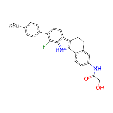 CCCCc1ccc(-c2ccc3c4c([nH]c3c2F)-c2ccc(NC(=O)CO)cc2CC4)cc1